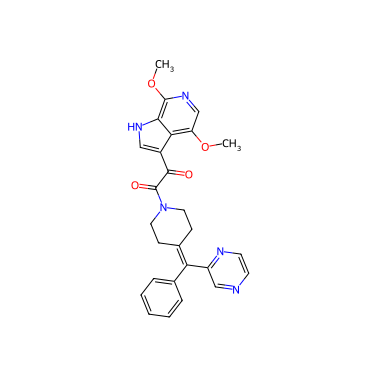 COc1ncc(OC)c2c(C(=O)C(=O)N3CCC(=C(c4ccccc4)c4cnccn4)CC3)c[nH]c12